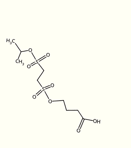 CC(C)OS(=O)(=O)CCS(=O)(=O)OCCCC(=O)O